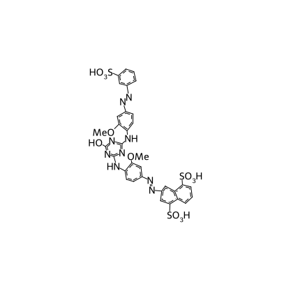 COc1cc(N=Nc2cccc(S(=O)(=O)O)c2)ccc1Nc1nc(O)nc(Nc2ccc(N=Nc3cc(S(=O)(=O)O)c4cccc(S(=O)(=O)O)c4c3)cc2OC)n1